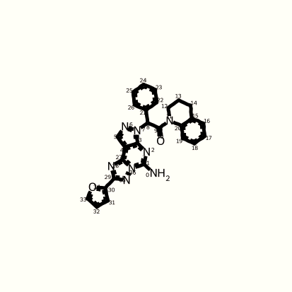 Nc1nc2c(cnn2C(C(=O)N2CCCc3ccccc32)c2ccccc2)c2nc(-c3ccco3)nn12